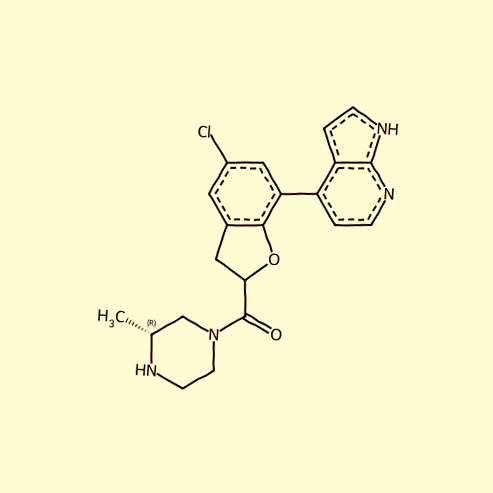 C[C@@H]1CN(C(=O)C2Cc3cc(Cl)cc(-c4ccnc5[nH]ccc45)c3O2)CCN1